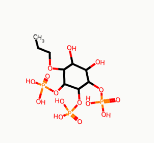 CCCOC1C(O)C(O)C(OP(=O)(O)O)C(OP(=O)(O)O)C1OP(=O)(O)O